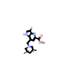 COC(=O)c1cc(CN2C[C@H](C)C[C@H](C)C2)c2[nH]cc(I)c2n1